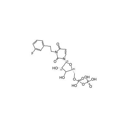 O=c1ccn([C@@H]2O[C@H](COP(=O)(O)OP(=O)(O)O)C(O)[C@@H]2O)c(=O)n1CCc1cccc(F)c1